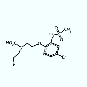 CS(=O)(=O)Nc1cc(Br)cnc1OCCN(CCF)C(=O)O